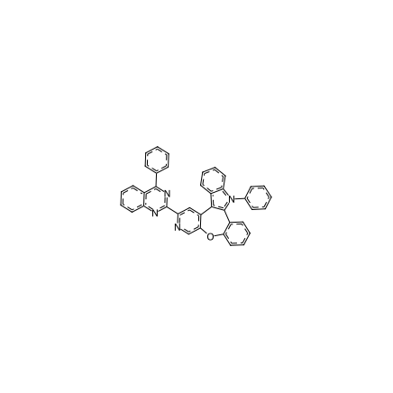 c1ccc(-c2nc(-c3cc4c(cn3)Oc3ccccc3-c3c-4c4ccccc4n3-c3ccccc3)nc3ccccc23)cc1